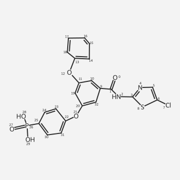 O=C(Nc1ncc(Cl)s1)c1cc(Oc2ccccc2)cc(Oc2ccc(P(=O)(O)O)cc2)c1